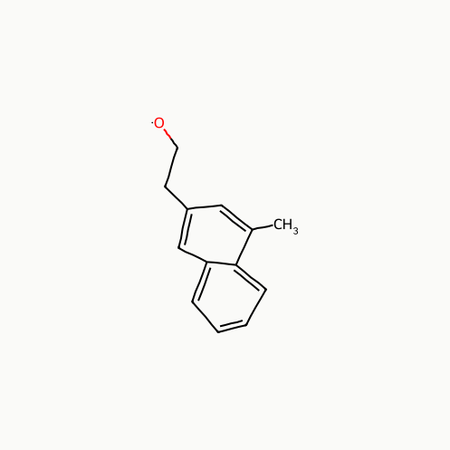 Cc1cc(CC[O])cc2ccccc12